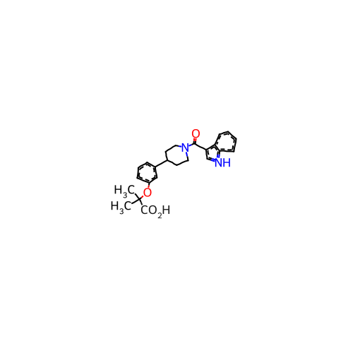 CC(C)(Oc1cccc(C2CCN(C(=O)c3c[nH]c4ccccc34)CC2)c1)C(=O)O